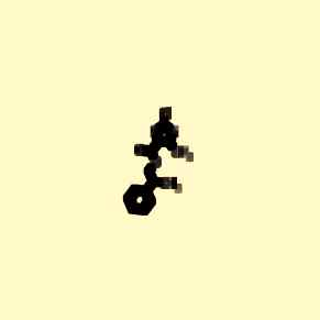 Cc1nc(Cl)sc1C(=O)OCC(C)c1ccccc1